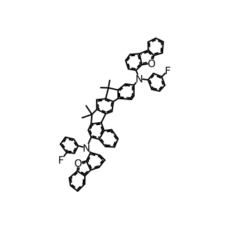 CC1(C)c2cc(N(c3cccc(F)c3)c3cccc4c3oc3ccccc34)ccc2-c2cc3c(cc21)C(C)(C)c1cc(N(c2cccc(F)c2)c2cccc4c2oc2ccccc24)c2ccccc2c1-3